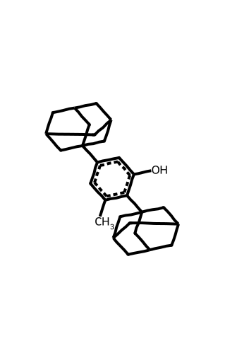 Cc1cc(C23CC4CC(CC(C4)C2)C3)cc(O)c1C12CC3CC(CC(C3)C1)C2